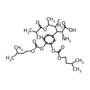 CC(C)CCOC(=O)Oc1ccc(C(C(C)C(C)OC(=O)C(C)C)[C@H](N)C(=O)O)cc1OC(=O)OCCC(C)C